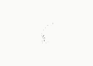 O=C1NCCOC1Cc1cn(CC=Cc2ccc(-c3ccccc3)cc2)cn1